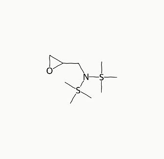 CS(C)(C)N(CC1CO1)S(C)(C)C